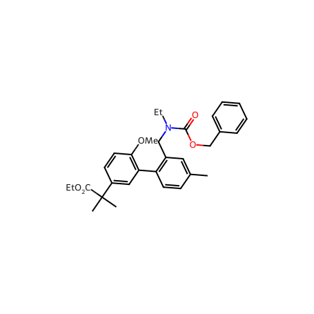 CCOC(=O)C(C)(C)c1ccc(OC)c(-c2ccc(C)cc2CN(CC)C(=O)OCc2ccccc2)c1